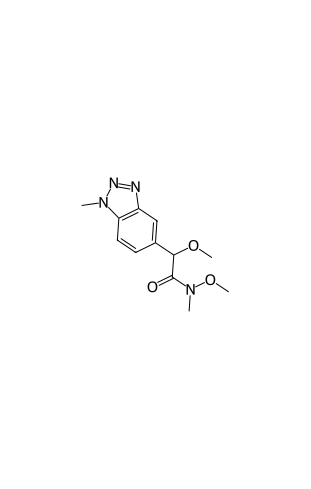 COC(C(=O)N(C)OC)c1ccc2c(c1)nnn2C